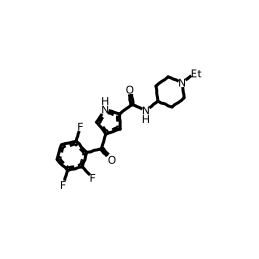 CCN1CCC(NC(=O)c2cc(C(=O)c3c(F)ccc(F)c3F)c[nH]2)CC1